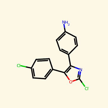 Nc1ccc(-c2nc(Cl)oc2-c2ccc(Cl)cc2)cc1